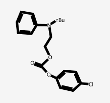 CCCCN(CCOC(=O)Oc1ccc(Cl)cc1)c1ccccc1